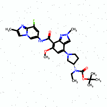 CCN(C(=O)OC(C)(C)C)[C@H]1CCN(c2cc(OC)c(C(=O)Nc3cc(F)c4nc(C)cn4c3)c3nn(C)cc23)C1